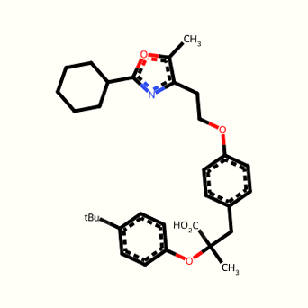 Cc1oc(C2CCCCC2)nc1CCOc1ccc(CC(C)(Oc2ccc(C(C)(C)C)cc2)C(=O)O)cc1